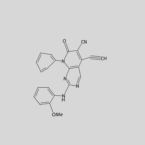 C#Cc1c(C#N)c(=O)n(-c2ccccc2)c2nc(Nc3ccccc3OC)ncc12